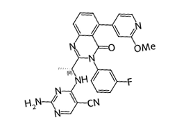 COc1cc(-c2cccc3nc([C@@H](C)Nc4nc(N)ncc4C#N)n(-c4cccc(F)c4)c(=O)c23)ccn1